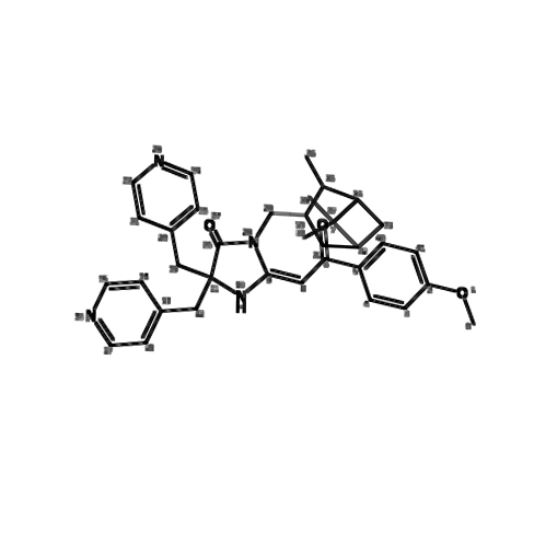 COc1ccc(C(=O)/C=C2/NC(Cc3ccncc3)(Cc3ccncc3)C(=O)N2CC2CC3CC(C2C)C3(C)C)cc1